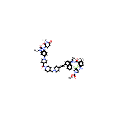 Cc1ccc(N[C@H]2CN(C(=O)OC(C)(C)C)CC2(F)F)cc1C(=O)N[C@H](C)c1ccc(C#CC2CCN(CC3CCN(C(=O)C4CCN(c5ccc6c(c5)n(C)c(=O)n6C5CCC(=O)N(C)C5=O)CC4)CC3)CC2)c2ccccc12